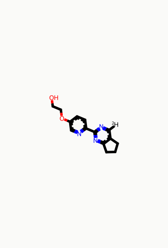 [2H]c1nc(-c2ccc(OCCO)cn2)nc2c1CCC2